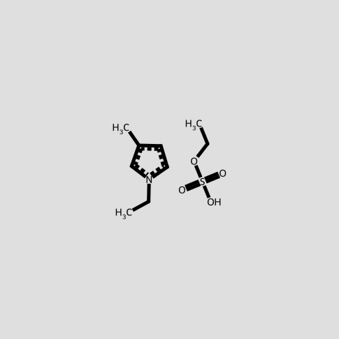 CCOS(=O)(=O)O.CCn1ccc(C)c1